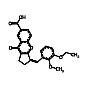 CCOc1cccc(/C=C2/CCc3c2oc2ccc(C(=O)O)cc2c3=O)c1OC